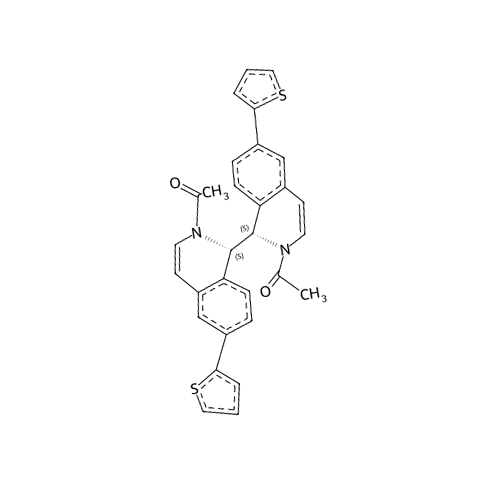 CC(=O)N1C=Cc2cc(-c3cccs3)ccc2[C@H]1[C@@H]1c2ccc(-c3cccs3)cc2C=CN1C(C)=O